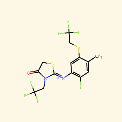 Cc1cc(F)c(/N=C2\SCC(=O)N2CC(F)(F)F)cc1SCC(F)(F)F